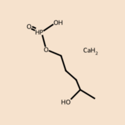 CC(O)CCCO[PH](=O)O.[CaH2]